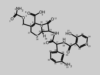 NC(=O)OCC1=C(C(=O)O)N2C(=O)C(NC(=O)C(NC(=O)c3cnccc3O)c3cccc(N)c3)[C@@H]2SC1